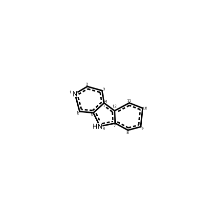 [c]1nccc2c1[nH]c1ccccc12